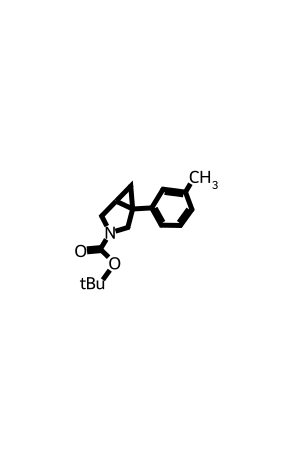 Cc1cccc(C23CC2CN(C(=O)OC(C)(C)C)C3)c1